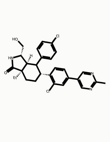 CC[C@@]12CC[C@@H](c3ccc(-c4cnc(C)nc4)cc3Cl)C(c3ccc(Cl)cc3)[C@@H]1[C@@H](CO)NC2=O